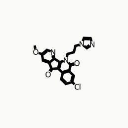 COc1cnc2c(c1)C(=O)c1c-2n(CCCn2ccnc2)c(=O)c2cc(Cl)ccc12